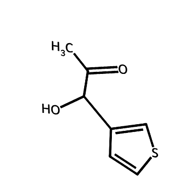 CC(=O)C(O)c1ccsc1